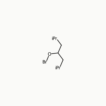 CC(C)CC(CC(C)C)OBr